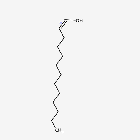 CCCCCCCCCCC/C=[C]\O